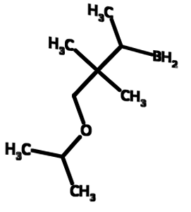 BC(C)C(C)(C)COC(C)C